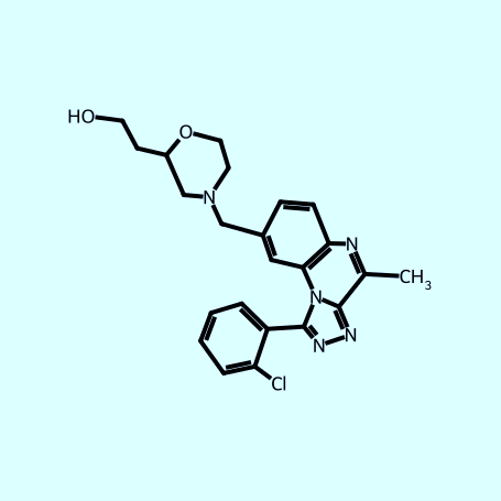 Cc1nc2ccc(CN3CCOC(CCO)C3)cc2n2c(-c3ccccc3Cl)nnc12